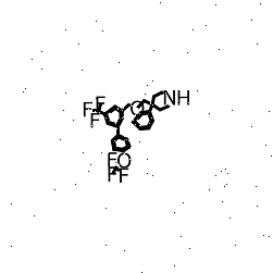 FC(F)(F)Oc1ccc(-c2cc(COCC3(c4ccccc4)CCNCC3)cc(C(F)(F)F)c2)cc1